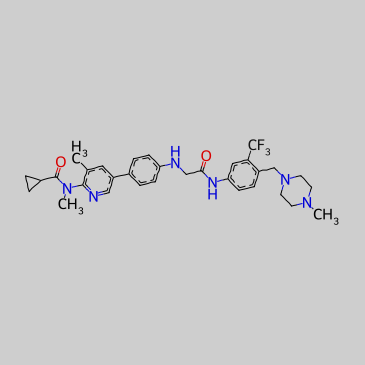 Cc1cc(-c2ccc(NCC(=O)Nc3ccc(CN4CCN(C)CC4)c(C(F)(F)F)c3)cc2)cnc1N(C)C(=O)C1CC1